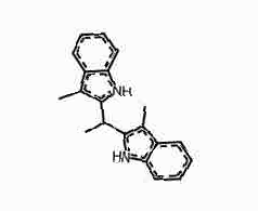 Cc1c(C(C)c2[nH]c3ccccc3c2C)[nH]c2ccccc12